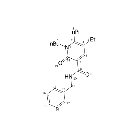 CCCCn1c(CCC)c(CC)cc(C(=O)NCc2ccccc2)c1=O